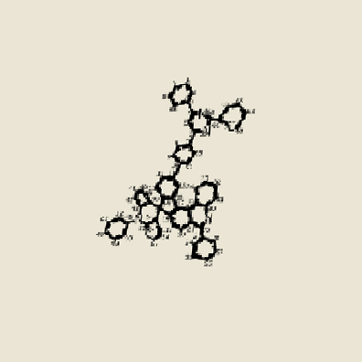 c1ccc(-c2cc(-c3ccc(-c4ccc5c(c4)-c4c(ccc6c(-c7ccccc7)nc7ccccc7c46)C54c5ccccc5N(c5ccccc5)c5ccccc54)cc3)nc(-c3ccccc3)n2)cc1